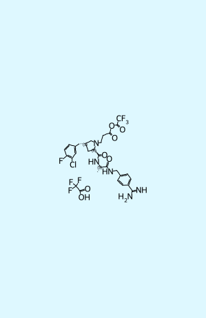 C[C@H](NC(=O)[C@H]1C[C@H](Cc2ccc(F)c(Cl)c2)CN1CCC(=O)OC(=O)C(F)(F)F)C(=O)NCc1ccc(C(=N)N)cc1.O=C(O)C(F)(F)F